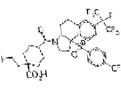 O=C(C1CCC(CCI)(C(=O)O)CC1)N1CCC2(S(=O)(=O)c3ccc(C(F)(F)F)cc3)c3ccc(C(F)(C(F)(F)F)C(F)(F)F)cc3CCC12